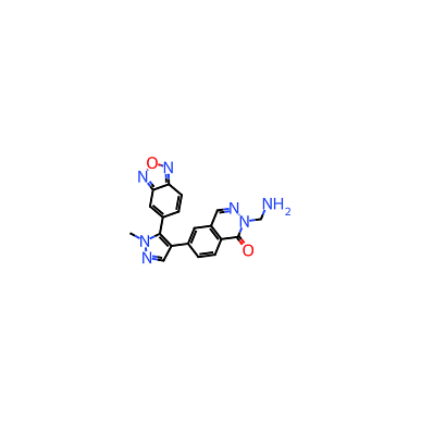 Cn1ncc(-c2ccc3c(=O)n(CN)ncc3c2)c1-c1ccc2nonc2c1